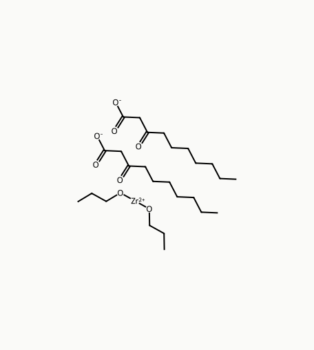 CCCCCCCC(=O)CC(=O)[O-].CCCCCCCC(=O)CC(=O)[O-].CCC[O][Zr+2][O]CCC